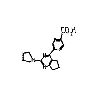 O=C(O)c1ccc(-c2nc(N3CCCC3)nc3c2CCC3)cc1